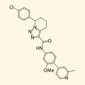 COc1cc(NC(=O)c2nnn3c2CCCC3c2ccc(Cl)cc2)ccc1-c1ccnc(C)c1